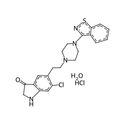 Cl.O.O=C1CNc2cc(Cl)c(CCN3CCN(c4nsc5ccccc45)CC3)cc21